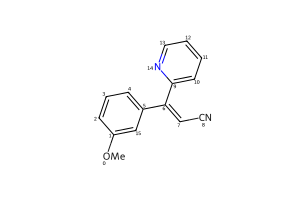 COc1cccc(C(=CC#N)c2ccccn2)c1